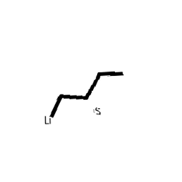 [Li][CH2]CCC.[S]